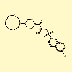 O=C([C@H](O)CS(=O)(=O)c1ccc2cc(Cl)ccc2c1)N1CCC(N2CCCCCCOC2)CC1